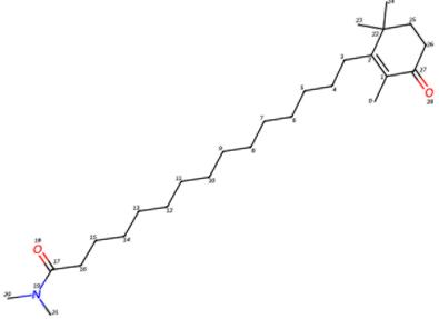 CC1=C(CCCCCCCCCCCCCCC(=O)N(C)C)C(C)(C)CCC1=O